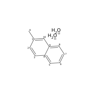 Cc1ccc2ccccc2c1.O.O